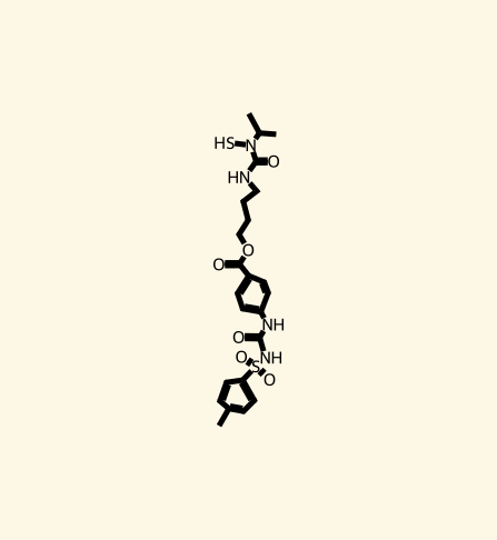 Cc1ccc(S(=O)(=O)NC(=O)Nc2ccc(C(=O)OCCCCNC(=O)N(S)C(C)C)cc2)cc1